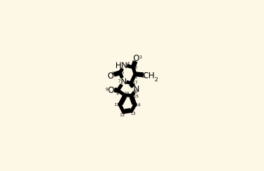 C=c1c(=O)[nH]c(=O)n2c(=O)c3ccccc3nc12